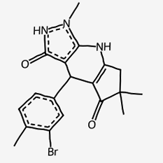 Cc1ccc(C2C3=C(CC(C)(C)C3=O)Nc3c2c(=O)[nH]n3C)cc1Br